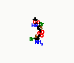 CC(C)(C)OC(=O)Nc1cc(C(=O)OC(=O)c2cc(N)c(Br)s2)sc1Br